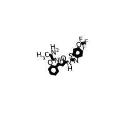 CC(N)C(=O)NC(CC(=O)Nc1nc2ccc(OC(F)(F)F)cc2s1)C1CCCCC1